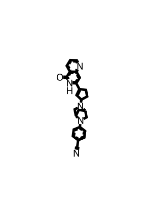 N#Cc1ccc(N2CC3CC2CN3C2C=C(c3cc4ncccc4c(=O)[nH]3)CC2)cc1